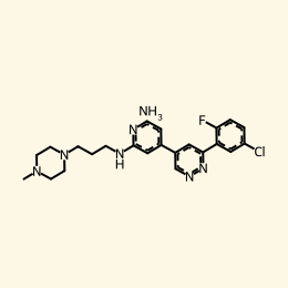 CN1CCN(CCCNc2cc(-c3cnnc(-c4cc(Cl)ccc4F)c3)ccn2)CC1.N